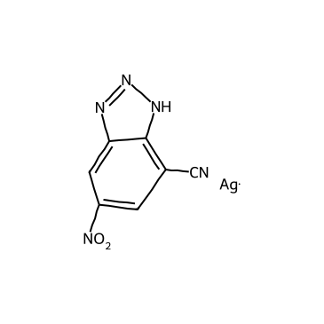 N#Cc1cc([N+](=O)[O-])cc2nn[nH]c12.[Ag]